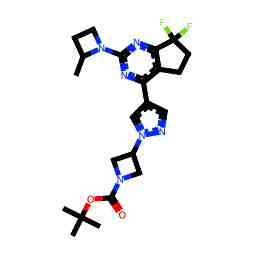 CC1CCN1c1nc(-c2cnn(C3CN(C(=O)OC(C)(C)C)C3)c2)c2c(n1)C(F)(F)CC2